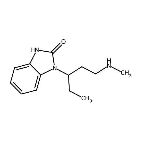 CCC(CCNC)n1c(=O)[nH]c2ccccc21